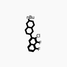 CCCCC1CCC2CC(c3cc4cccc(F)c4c(F)c3Cl)CCC2C1